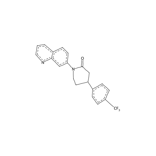 O=C1CC(c2ccc(C(F)(F)F)cc2)CCN1c1ccc2cccnc2c1